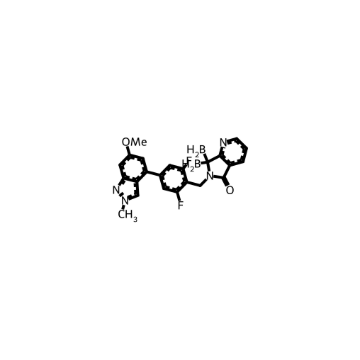 BC1(B)c2ncccc2C(=O)N1Cc1c(F)cc(-c2cc(OC)cc3nn(C)cc23)cc1F